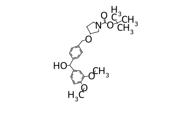 COc1ccc(C(O)c2ccc(CO[C@@H]3CCN(C(=O)OC(C)(C)C)C3)cc2)cc1OC